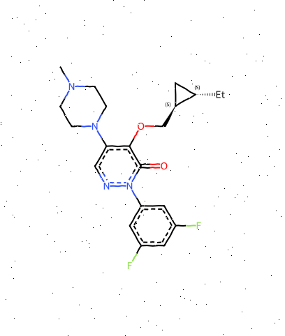 CC[C@H]1C[C@@H]1COc1c(N2CCN(C)CC2)cnn(-c2cc(F)cc(F)c2)c1=O